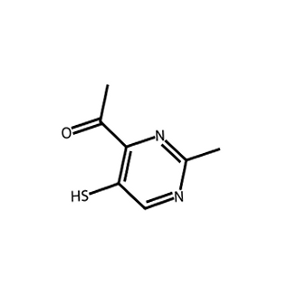 CC(=O)c1nc(C)ncc1S